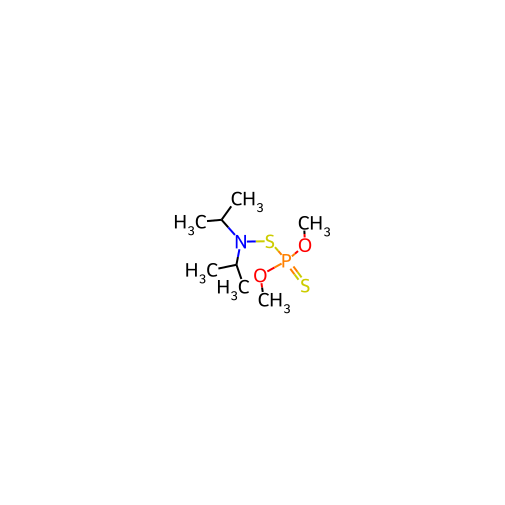 COP(=S)(OC)SN(C(C)C)C(C)C